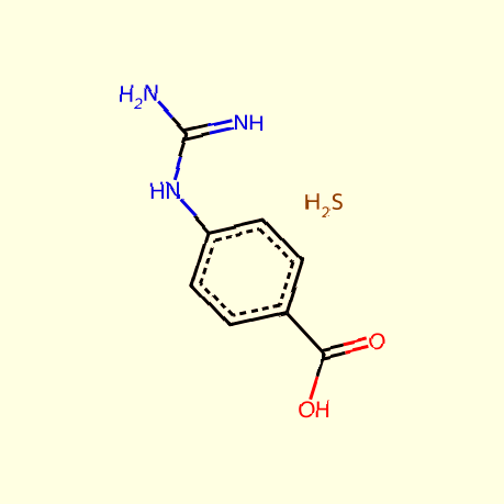 N=C(N)Nc1ccc(C(=O)O)cc1.S